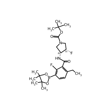 CCc1ccc(B2OC(C)(C)C(C)(C)O2)c(F)c1C(=O)N[C@@H]1CN(C(=O)OC(C)(C)C)C[C@@H]1F